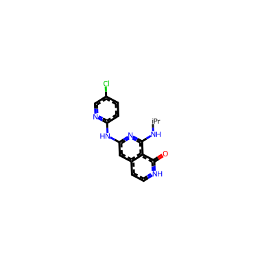 CC(C)Nc1nc(Nc2ccc(Cl)cn2)cc2cc[nH]c(=O)c12